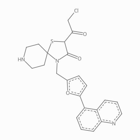 O=C(CCl)C1SC2(CCNCC2)N(Cc2ccc(-c3cccc4ncccc34)o2)C1=O